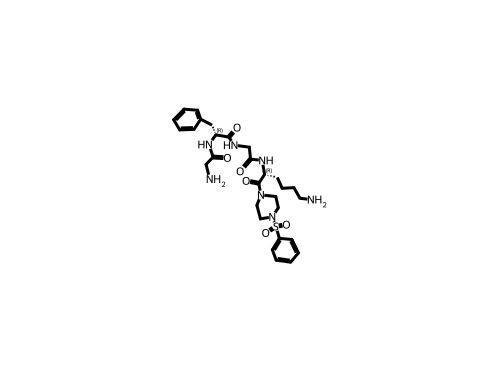 NCCCC[C@@H](NC(=O)CNC(=O)[C@@H](Cc1ccccc1)NC(=O)CN)C(=O)N1CCN(S(=O)(=O)c2ccccc2)CC1